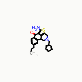 CCCc1ccc2c(c1)C1CN(Cc3ccccc3)Cc3sc(N)c(c31)C2=O